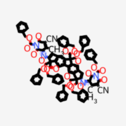 CC1=C(C#N)C(=O)N(C(=O)OCc2ccccc2)C(=O)/C1=N\C1=Cc2cc3c(cc2C1(C(=O)OCc1ccccc1)C(=O)OCc1ccccc1)-c1cc2c(cc1C3(C(=O)OCc1ccccc1)C(=O)OCc1ccccc1)C=C(/N=C1/C(=O)N(C(=O)OCc3ccccc3)C(=O)C(C#N)=C1C)C2(C(=O)OCc1ccccc1)C(=O)OCc1ccccc1